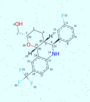 OC[C@@H]1CC[C@@H]2[C@@H](c3cccc(F)c3)Nc3ccc(C(F)(F)F)cc3[C@@H]2O1